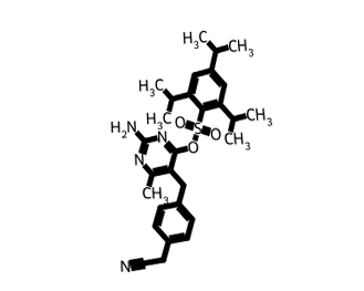 Cc1nc(N)nc(OS(=O)(=O)c2c(C(C)C)cc(C(C)C)cc2C(C)C)c1Cc1ccc(CC#N)cc1